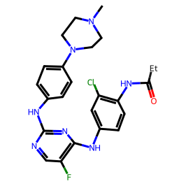 CCC(=O)Nc1ccc(Nc2nc(Nc3ccc(N4CCN(C)CC4)cc3)ncc2F)cc1Cl